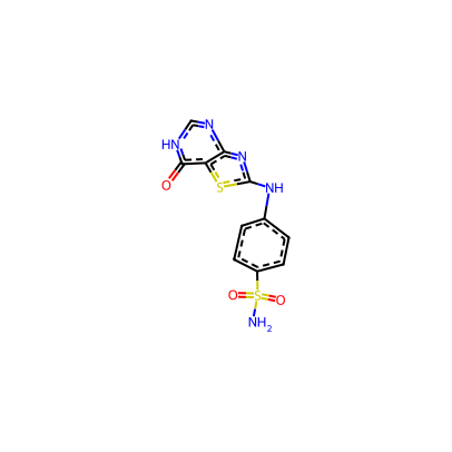 NS(=O)(=O)c1ccc(Nc2nc3nc[nH]c(=O)c3s2)cc1